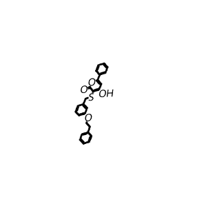 O=c1oc(-c2ccccc2)cc(O)c1SCc1cccc(OCCc2ccccc2)c1